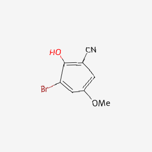 COc1cc(Br)c(O)c(C#N)c1